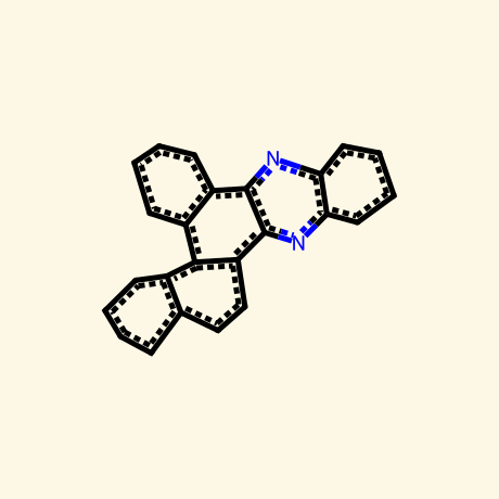 c1ccc2c(c1)ccc1c3nc4ccccc4nc3c3ccccc3c21